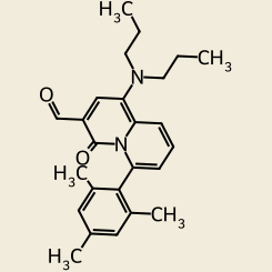 CCCN(CCC)c1cc(C=O)c(=O)n2c(-c3c(C)cc(C)cc3C)cccc12